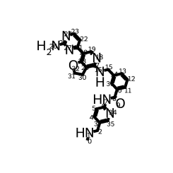 CNCc1ccc(NC(=O)c2cccc(CNc3ncc(-c4ccnc(N)n4)c4c3CCO4)c2)nc1